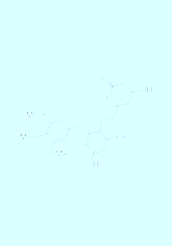 COc1cc(Cc2cc(C)cc(C)c2OCC2CC(O)CC(=O)O2)cc(OC)c1OC